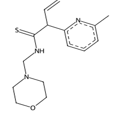 C=CC(C(=S)NCN1CCOCC1)c1cccc(C)n1